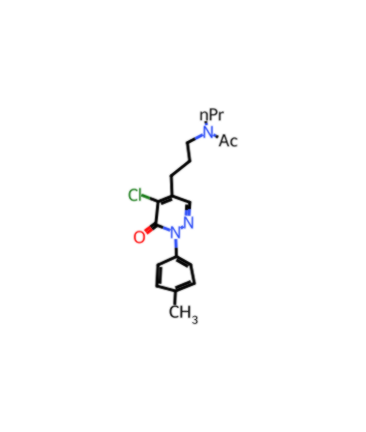 CCCN(CCCc1cnn(-c2ccc(C)cc2)c(=O)c1Cl)C(C)=O